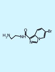 NCCNC(=O)c1ncn2cc(Br)ccc12